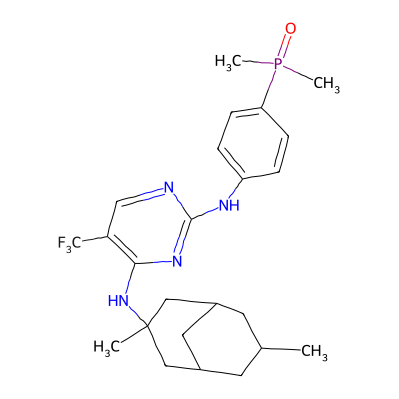 CC1CC2CC(C1)CC(C)(Nc1nc(Nc3ccc(P(C)(C)=O)cc3)ncc1C(F)(F)F)C2